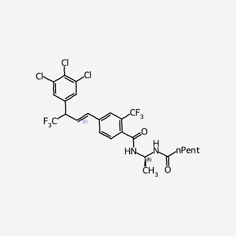 CCCCCC(=O)N[C@@H](C)NC(=O)c1ccc(/C=C/C(c2cc(Cl)c(Cl)c(Cl)c2)C(F)(F)F)cc1C(F)(F)F